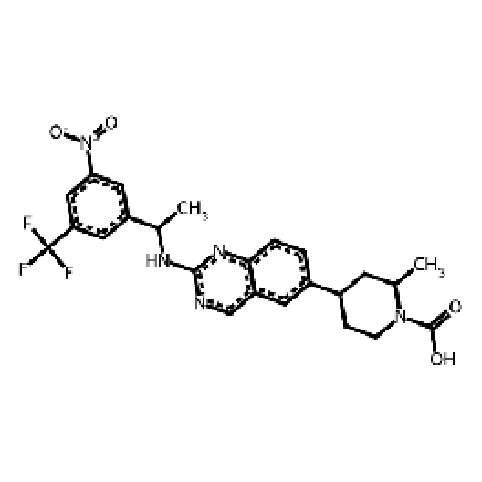 CC(Nc1ncc2cc(C3CCN(C(=O)O)C(C)C3)ccc2n1)c1cc([N+](=O)[O-])cc(C(F)(F)F)c1